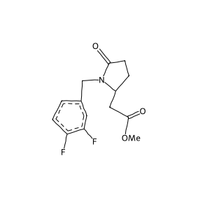 COC(=O)CC1CCC(=O)N1Cc1ccc(F)c(F)c1